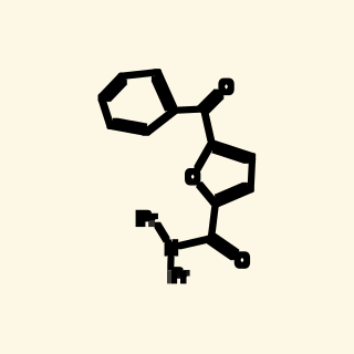 CC(C)N(C(=O)c1ccc(C(=O)c2ccccc2)o1)C(C)C